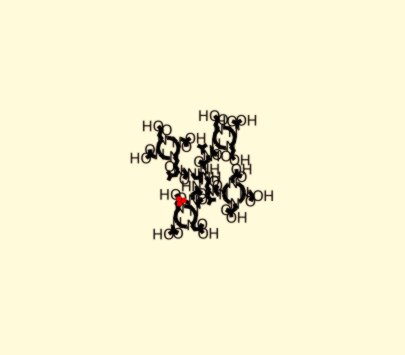 CC(C)CN(CC(=O)NCC(CNC(=O)CN(CC(C)C)C(=O)CN1CCN(CC(=O)O)CCN(CC(=O)O)CCN(CC(=O)O)CC1)(CNC(=O)CN(CC(C)C)C(=O)CN1CCN(CC(=O)O)CCN(CC(O)O)CCN(CC(O)O)CC1)NC(=O)CN(CC(C)C)C(=O)CN1CCN(CC(=O)O)CCN(CC(=O)O)CCN(CC(=O)O)CC1)C(=O)CN1CCN(CC(=O)O)CCN(CC(=O)O)CCN(CC(=O)O)CC1